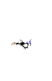 CN(C)c1ccc(C#CS)cc1